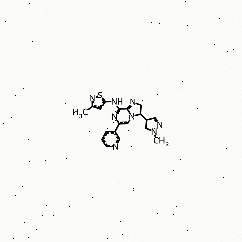 Cc1cc(NC2=NC(c3cccnc3)=CN3C2=NCC3C2C=NN(C)C2)sn1